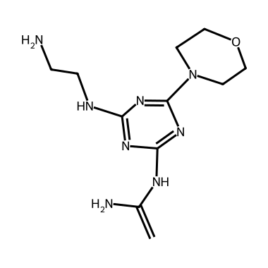 C=C(N)Nc1nc(NCCN)nc(N2CCOCC2)n1